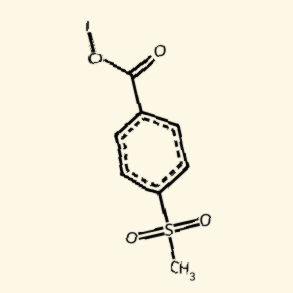 CS(=O)(=O)c1ccc(C(=O)OI)cc1